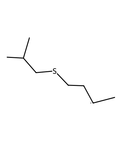 C[CH]CCSCC(C)C